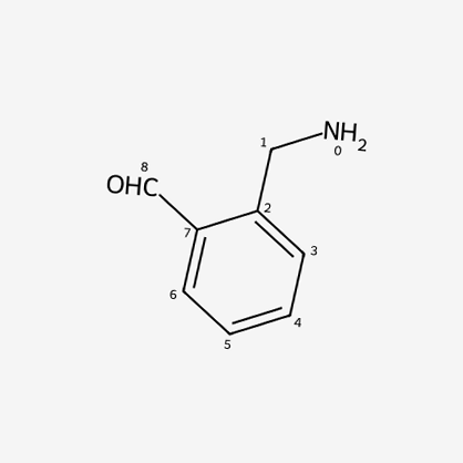 NCc1ccccc1C=O